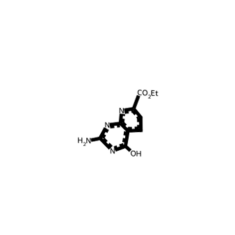 CCOC(=O)c1ccc2c(O)nc(N)nc2n1